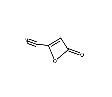 N#CC1=[C]C(=O)O1